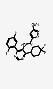 COc1cc(C(=O)Nc2c(-c3cc(F)ccc3F)ncnc2C2CCC(F)(F)CC2)on1